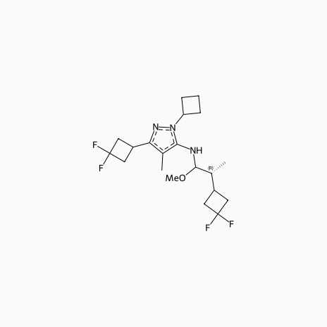 COC(Nc1c(C)c(C2CC(F)(F)C2)nn1C1CCC1)[C@H](C)C1CC(F)(F)C1